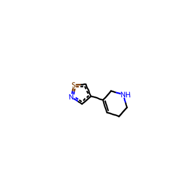 C1=C(c2cnsc2)CNCC1